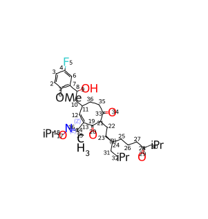 COc1ccc(F)cc1C(O)CC1/C=C(/C(C)=N/OC(C)C)C(=O)C(CC[C@@H](CCCC(=O)C(C)C)CC(C)C)C(=O)CC1